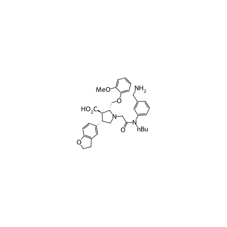 CCCCN(C(=O)CN1C[C@H](c2ccc3c(c2)CCO3)[C@@H](C(=O)O)[C@@H]1COc1ccccc1OC)c1cccc(CN)c1